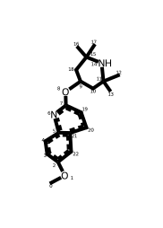 COc1ccc2nc(OC3CC(C)(C)NC(C)(C)C3)ccc2c1